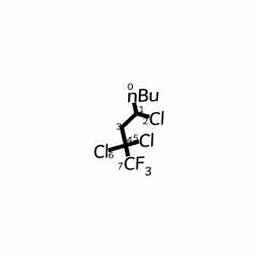 CCCCC(Cl)CC(Cl)(Cl)C(F)(F)F